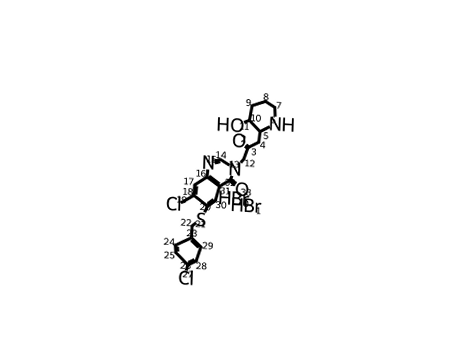 Br.Br.O=C(CC1NCCCC1O)Cn1cnc2cc(Cl)c(SCc3ccc(Cl)cc3)cc2c1=O